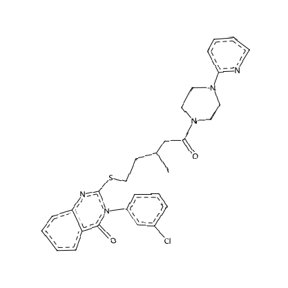 CC(CCSc1nc2ccccc2c(=O)n1-c1cccc(Cl)c1)CC(=O)N1CCN(c2ccccn2)CC1